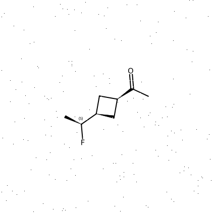 CC(=O)[C@H]1C[C@@H]([C@H](C)F)C1